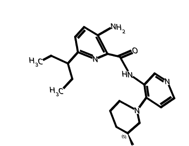 CCC(CC)c1ccc(N)c(C(=O)Nc2cnccc2N2CCC[C@H](N)C2)n1